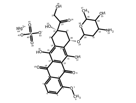 COc1cccc2c1C(=O)c1c(O)c3c(c(O)c1C2=O)C[C@@](O)(C(=O)CO)C[C@@H]3OC1CC(N)C(O)C(C)O1.O=S(=O)([O-])[O-].[Mg+2]